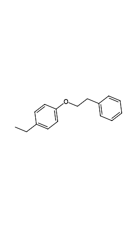 CCc1ccc(OCCc2ccccc2)cc1